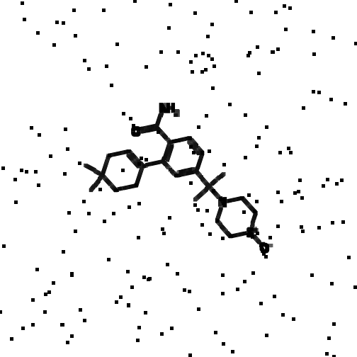 CC1(C)CC=C(c2cc(C(C)(C)N3CC[S+]([O-])CC3)ccc2C(N)=O)CC1